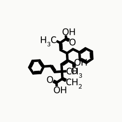 C=C(C(=O)O)C(C)(C=Cc1ccccc1)C=C(C(=O)O)C(C=C(C)C(=O)O)Cc1ccccc1